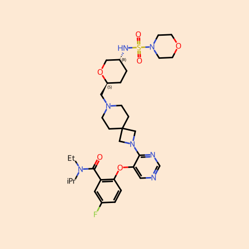 CCN(C(=O)c1cc(F)ccc1Oc1cncnc1N1CC2(CCN(C[C@@H]3CC[C@@H](NS(=O)(=O)N4CCOCC4)CO3)CC2)C1)C(C)C